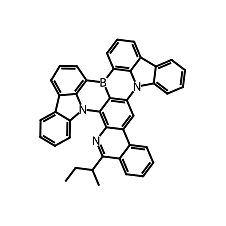 CCC(C)c1nc2c3c4c(cc2c2ccccc12)-n1c2ccccc2c2cccc(c21)B4c1cccc2c4ccccc4n-3c12